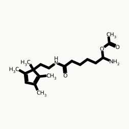 CC(=O)OC(N)CCCCC(=O)NCCC1(C)C(C)=CC(C)=C1C